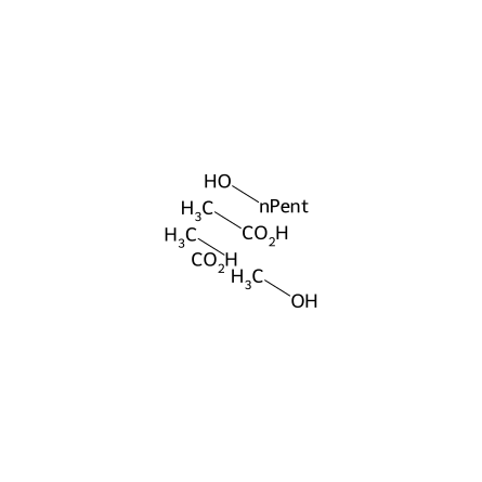 CC(=O)O.CC(=O)O.CCCCCO.CO